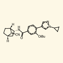 CC(C)COc1cc(C(=O)N[C@@H]2C[C@@H]3CC[C@H]2N3C#N)ccc1-c1cnn(C2CC2)c1